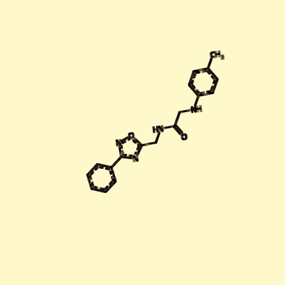 Cc1ccc(NCC(=O)NCc2nc(-c3ccccc3)no2)cc1